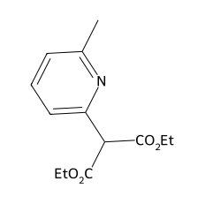 CCOC(=O)C(C(=O)OCC)c1cccc(C)n1